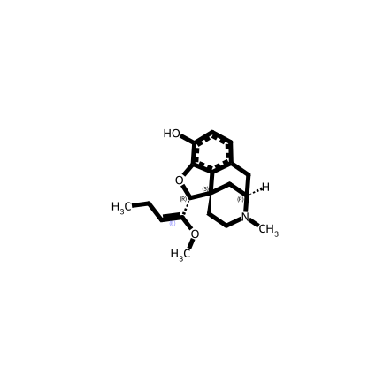 CC/C=C(/OC)[C@@H]1Oc2c(O)ccc3c2[C@@]12CCN(C)[C@H](C3)C2